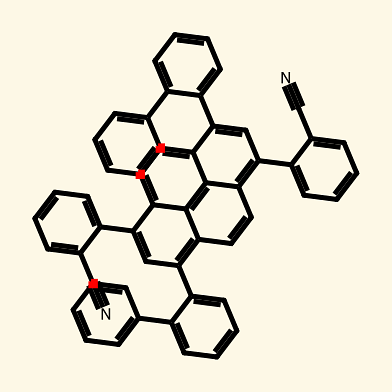 N#Cc1ccccc1-c1cc(-c2ccccc2-c2ccccc2)c2ccc3c(-c4ccccc4C#N)cc(-c4ccccc4-c4ccccc4)c4ccc1c2c34